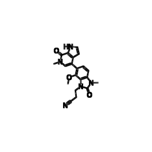 COc1c(-c2cn(C)c(=O)c3[nH]ccc23)ccc2c1n(CCC#N)c(=O)n2C